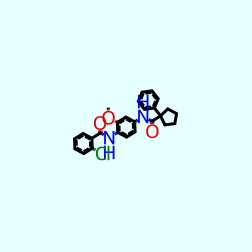 COc1cc(NC(=O)C2(c3ccccc3)CCCC2)ccc1NC(=O)c1ccccc1Cl